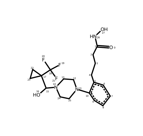 O=C(CCCc1ccccc1N1CCN(C(O)C2(C(F)(F)F)CC2)CC1)NO